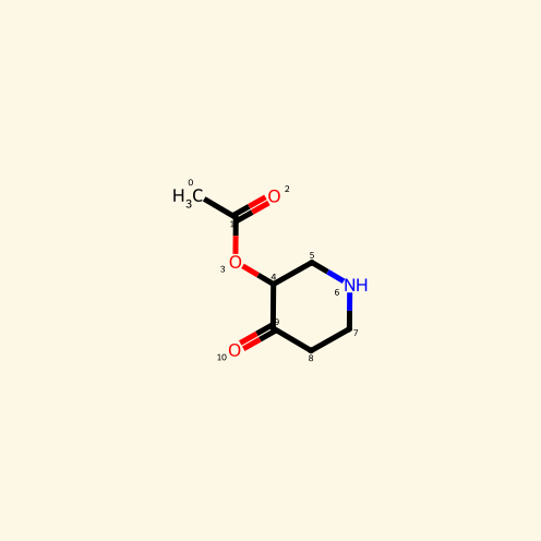 CC(=O)OC1CNCCC1=O